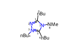 CCCCc1n[n+](CCCC)c(CCCC)n1NC